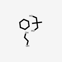 C1CCCCC1.CC(C)(CO)CO.OCCO